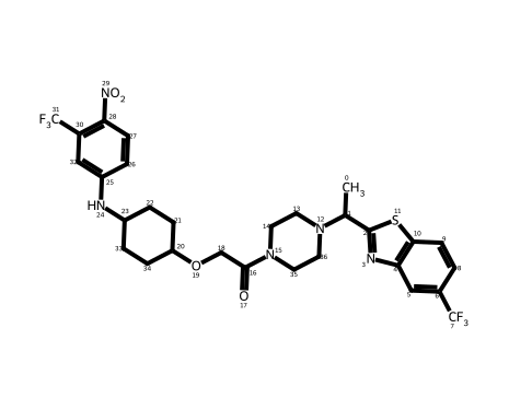 CC(c1nc2cc(C(F)(F)F)ccc2s1)N1CCN(C(=O)COC2CCC(Nc3ccc([N+](=O)[O-])c(C(F)(F)F)c3)CC2)CC1